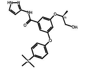 C[C@@H](CO)Oc1cc(Oc2ccc(S(C)(C)C)cc2)cc(C(=O)Nc2cc[nH]n2)c1